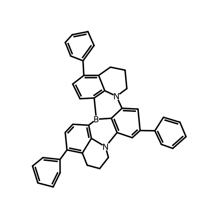 c1ccc(-c2cc3c4c(c2)N2CCCc5c(-c6ccccc6)ccc(c52)B4c2ccc(-c4ccccc4)c4c2N3CCC4)cc1